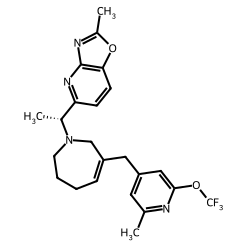 Cc1cc(CC2=CCCCN([C@H](C)c3ccc4oc(C)nc4n3)C2)cc(OC(F)(F)F)n1